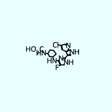 O=C(O)NC1CCCC(NC2=C(F)CNC(c3c[nH]c4ncc(Cl)cc34)=N2)C1